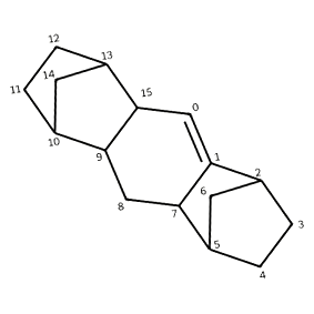 C1=C2C3CCC(C3)C2CC2C3CCC(C3)C12